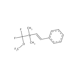 C[Si](C)(C=Cc1ccccc1)C(F)(F)OC(F)(F)F